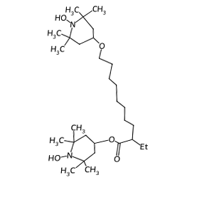 CCC(CCCCCCCCOC1CC(C)(C)N(O)C(C)(C)C1)C(=O)OC1CC(C)(C)N(O)C(C)(C)C1